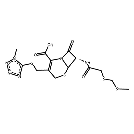 CSCSCC(=O)N[C@H]1C(=O)N2C(C(=O)O)=C(CSc3nnnn3C)CSC12